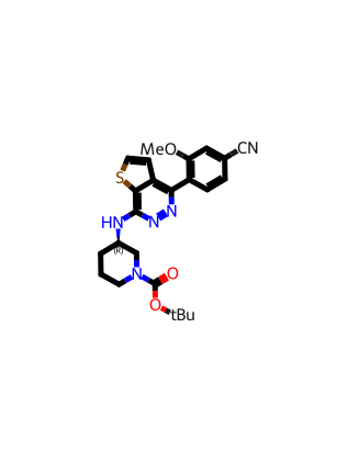 COc1cc(C#N)ccc1-c1nnc(N[C@@H]2CCCN(C(=O)OC(C)(C)C)C2)c2sccc12